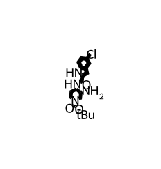 CC(C)(C)OC(=O)N1CCC(NC(=O)c2cc3cc(Cl)ccc3[nH]2)C(N)C1